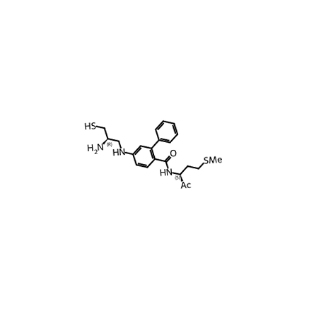 CSCC[C@H](NC(=O)c1ccc(NC[C@@H](N)CS)cc1-c1ccccc1)C(C)=O